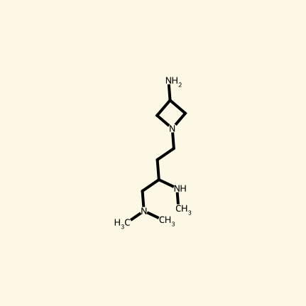 CNC(CCN1CC(N)C1)CN(C)C